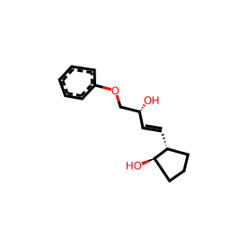 O[C@H](/C=C/[C@@H]1CCC[C@H]1O)COc1ccccc1